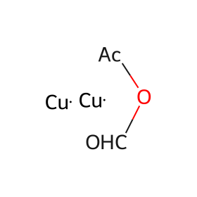 CC(=O)OC=O.[Cu].[Cu]